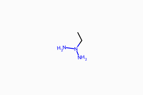 CCN(N)N